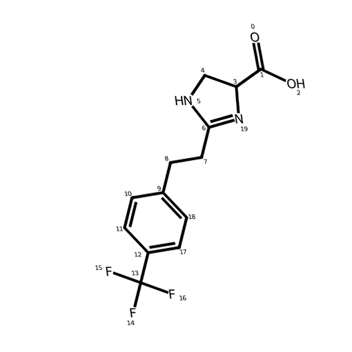 O=C(O)C1CNC(CCc2ccc(C(F)(F)F)cc2)=N1